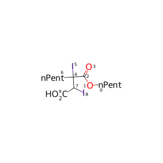 CCCCCOC(=O)C(I)(CCCCC)C(I)C(=O)O